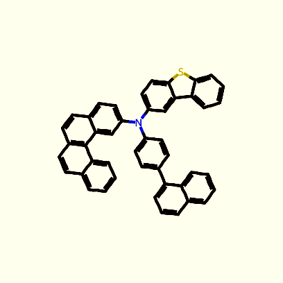 c1ccc2c(-c3ccc(N(c4ccc5sc6ccccc6c5c4)c4ccc5ccc6ccc7ccccc7c6c5c4)cc3)cccc2c1